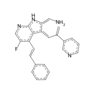 C=C(/C=c1\c(=C/N)[nH]c2ncc(F)c(/C=C/c3ccccc3)c12)c1cccnc1